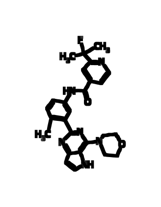 Cc1ccc(NC(=O)c2ccnc(C(C)(C)F)c2)cc1-c1nc(N2CCOCC2)c2[nH]ccc2n1